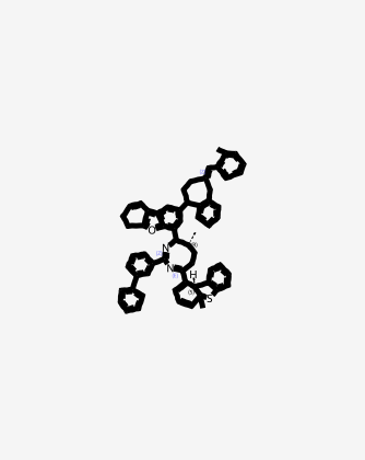 Cc1ccccc1/C=C1/CCC(c2cc(C3/N=C(c4cccc(-c5ccccc5)c4)\N=C(\C4=CC=CC5(C)Sc6ccccc6[C@H]45)CC[C@H]3C)c3oc4c(c3c2)C=CCC4)c2ccccc2C1